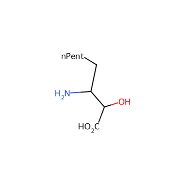 CCCCCCC(N)C(O)C(=O)O